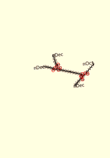 CCCCCCCC/C=C\CCCCCCCC(=O)OCC(COC(=O)CCCCCCCCCCCCCCCCC)OC(=O)CCCCCCC/C=C/CCCCCCCC(=O)OC(COC(=O)CCCCCCCCCCCCCCCCC)COC(=O)CCCCCCCCCCCCCCCCC